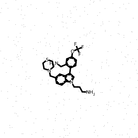 NCCCn1cc(-c2ccc(OC(F)(F)F)cc2CN)c2cc(CN3CCSCC3)ccc21